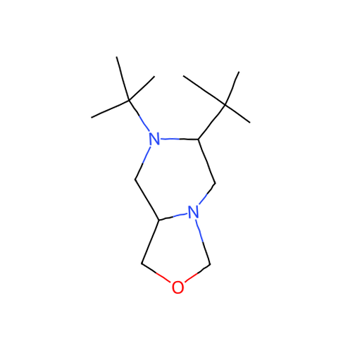 CC(C)(C)C1CN2COCC2CN1C(C)(C)C